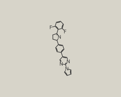 Fc1cccc(F)c1C1=NC(c2ccc(-c3cnc(-n4cccc4)nc3)cc2)CC1